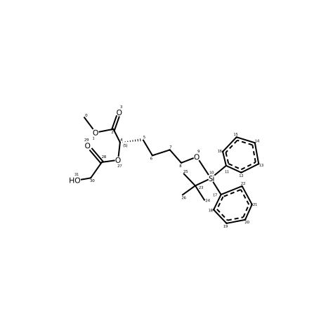 COC(=O)[C@H](CCCCO[Si](c1ccccc1)(c1ccccc1)C(C)(C)C)OC(=O)CO